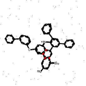 CC(C)(C)c1cc(-c2cc(Nc3c(-c4ccccc4)cc(-c4ccccc4)cc3-c3ccccc3)cc(Oc3cccc(-c4ccccc4)c3)c2)cc(C(C)(C)C)c1